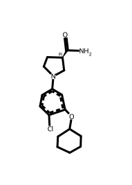 NC(=O)[C@@H]1CCN(c2ccc(Cl)c(OC3CCCCC3)c2)C1